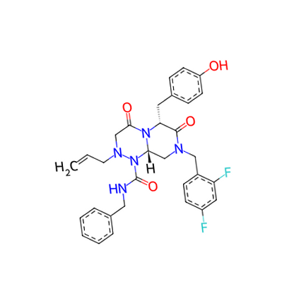 C=CCN1CC(=O)N2[C@H](Cc3ccc(O)cc3)C(=O)N(Cc3ccc(F)cc3F)C[C@@H]2N1C(=O)NCc1ccccc1